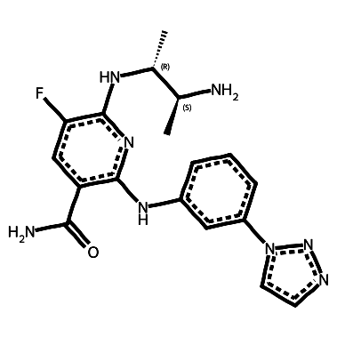 C[C@H](N)[C@@H](C)Nc1nc(Nc2cccc(-n3ccnn3)c2)c(C(N)=O)cc1F